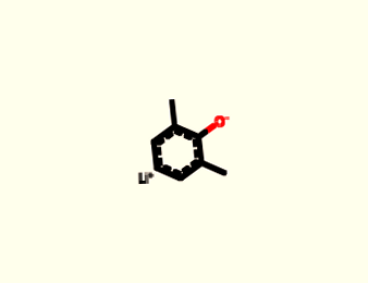 Cc1cccc(C)c1[O-].[Li+]